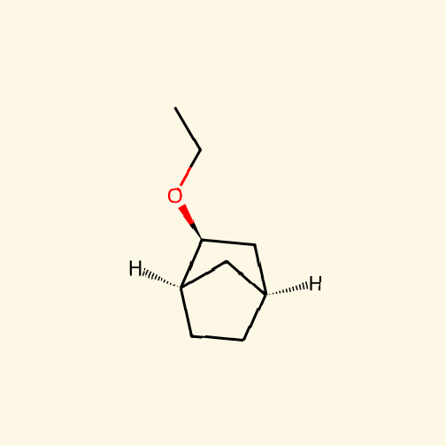 CCO[C@H]1C[C@H]2CC[C@@H]1C2